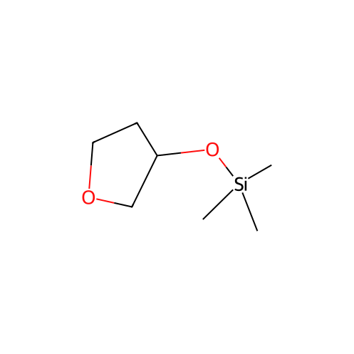 C[Si](C)(C)OC1CCOC1